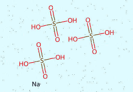 O=S(=O)(O)O.O=S(=O)(O)O.O=S(=O)(O)O.[Na]